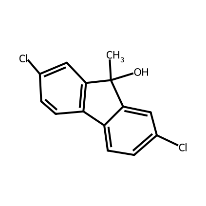 CC1(O)c2cc(Cl)ccc2-c2ccc(Cl)cc21